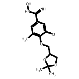 Cc1cc(C(=N)NO)cc(Cl)c1OCC1COC(C)(C)O1